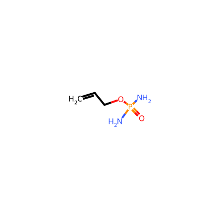 C=CCOP(N)(N)=O